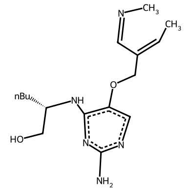 C/C=C(\C=N/C)COc1cnc(N)nc1N[C@H](CO)CCCC